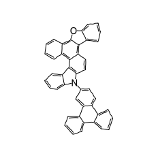 c1ccc2c(c1)oc1c3ccccc3c3c(ccc4c3c3ccccc3n4-c3ccc4c5ccccc5c5ccccc5c4c3)c21